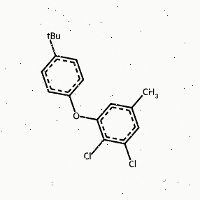 Cc1cc(Cl)c(Cl)c(Oc2ccc(C(C)(C)C)cc2)c1